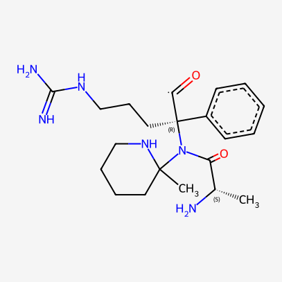 C[C@H](N)C(=O)N(C1(C)CCCCN1)[C@]([C]=O)(CCCNC(=N)N)c1ccccc1